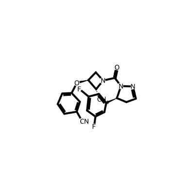 C[C@@H]1[C@@H](Oc2cccc(C#N)c2)CN1C(=O)N1N=CC[C@H]1c1cc(F)cc(F)c1